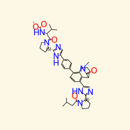 COC(=O)NC(C(=O)N1CCC[C@H]1c1ncc(-c2ccc(-c3ccc(-c4cnc([C@H]5CCCN5C(=O)CC(C)C)[nH]4)c4c3C3CCC4C(=O)N3C)cc2)[nH]1)C(C)C